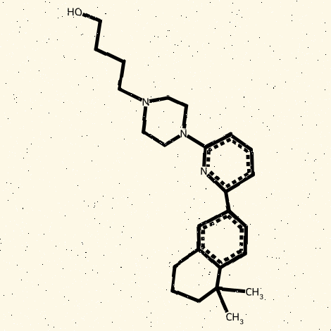 CC1(C)CCCc2cc(-c3cccc(N4CCN(CCCCO)CC4)n3)ccc21